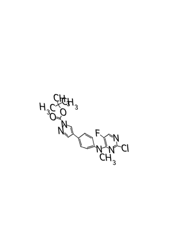 CN(c1ccc(-c2cnn(C(=O)OC(C)(C)C)c2)cc1)c1nc(Cl)ncc1F